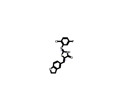 O=C1N/C(=N\c2cc(F)ccc2Cl)S/C1=C\c1ccc2c(c1)CCO2